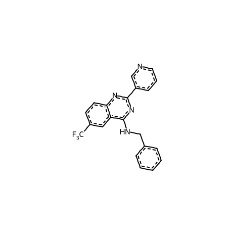 FC(F)(F)c1ccc2nc(-c3cccnc3)nc(NCc3ccccc3)c2c1